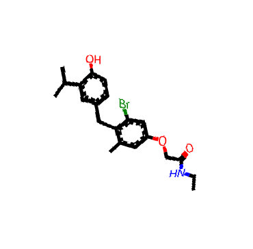 CCNC(=O)COc1cc(C)c(Cc2ccc(O)c(C(C)C)c2)c(Br)c1